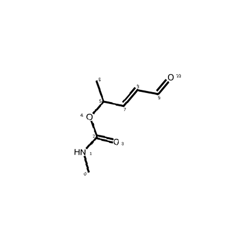 CNC(=O)OC(C)C=CC=O